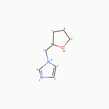 [c]1nccn1CC1CCCO1